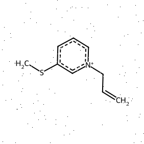 [CH2]Sc1ccc[n+](CC=C)c1